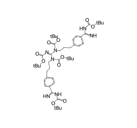 CC(C)(C)OC(=O)N=C(N(CCCc1ccc(C(=N)NC(=O)OC(C)(C)C)cc1)C(=O)OC(C)(C)C)N(CCCc1ccc(C(=N)NC(=O)OC(C)(C)C)cc1)C(=O)OC(C)(C)C